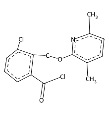 Cc1ccc(C)c(OCc2c(Cl)cccc2C(=O)Cl)n1